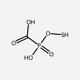 O=C(O)P(=O)(O)OS